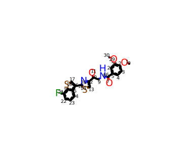 COc1ccc(C(=O)NCC(=O)c2csc(-c3csc4c(F)cccc34)n2)cc1OC